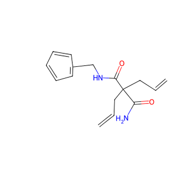 C=CCC(CC=C)(C(N)=O)C(=O)NCc1ccccc1